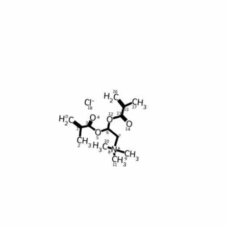 C=C(C)C(=O)OC(C[N+](C)(C)C)OC(=O)C(=C)C.[Cl-]